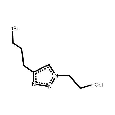 CCCCCCCCCCn1cc(CCCC(C)(C)C)nn1